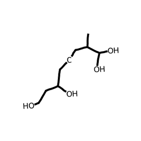 CC(CCCC(O)CCO)C(O)O